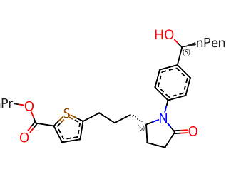 CCCCC[C@H](O)c1ccc(N2C(=O)CC[C@@H]2CCCc2ccc(C(=O)OCCC)s2)cc1